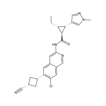 CC[C@H]1[C@H](C(=O)Nc2cc3cc([C@H]4C[C@@H](C#N)C4)c(Cl)cc3cn2)[C@H]1c1cnn(C)c1